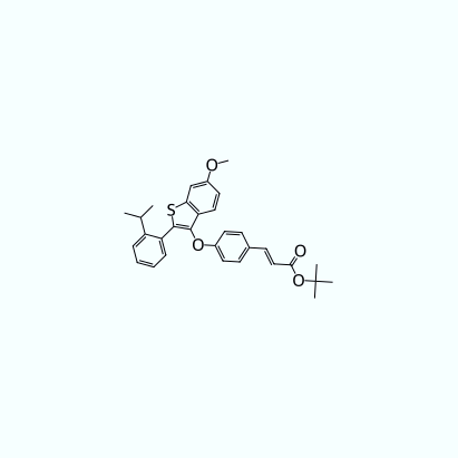 COc1ccc2c(Oc3ccc(C=CC(=O)OC(C)(C)C)cc3)c(-c3ccccc3C(C)C)sc2c1